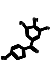 CC(C)c1cc(C(=O)c2ccc(C(C)(C)C)cc2)cc(C(C)C)c1O